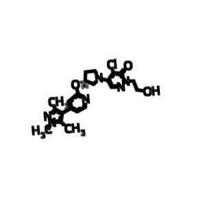 Cc1nn(C)c(C)c1-c1ccnc(O[C@@H]2CCN(c3cnn(CCO)c(=O)c3Cl)C2)c1